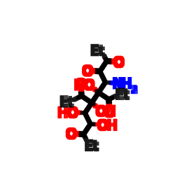 CCC(=O)C(=O)[C@@H](N)[C@](O)(C(=O)CC)[C@@](O)(C(=O)CC)[C@H](O)C(O)C(=O)CC